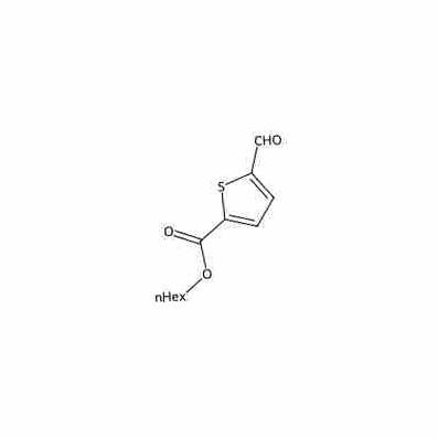 CCCCCCOC(=O)c1ccc(C=O)s1